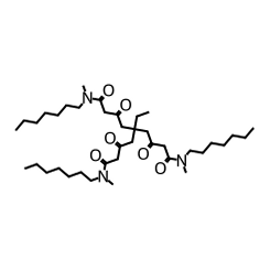 CCCCCCCN(C)C(=O)CC(=O)CC(CC)(CC(=O)CC(=O)N(C)CCCCCCC)CC(=O)CC(=O)N(C)CCCCCCC